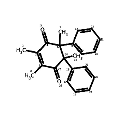 CC1=C(C)C(=O)C(C)(c2ccccc2)C(C)(c2ccccc2)C1=O